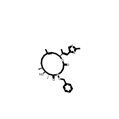 C/C1=C/C[C@@H](/C(C)=C/c2csc(C)n2)OC(=O)CCN(OCc2ccccc2)C(=O)[C@H](C)[C@@H](O)[C@@H](C)CCC1